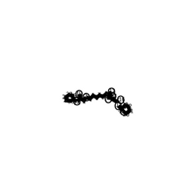 O=C(COCCCCCCS(=O)(=O)OCC(=O)OC1CCCCC1)OC1CCCCC1